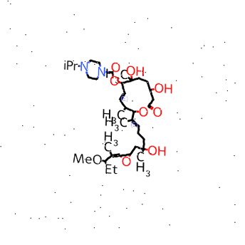 CCC(OC)C(C)=C1OC1CC(C)(O)CC/C=C(\C)C1OC(=O)CC(O)CCC(C)(O)C(OC(=O)N2CCN(C(C)C)CC2)/C=C/C1C